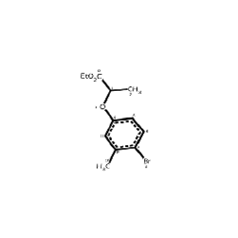 CCOC(=O)C(C)Oc1ccc(Br)c(C)c1